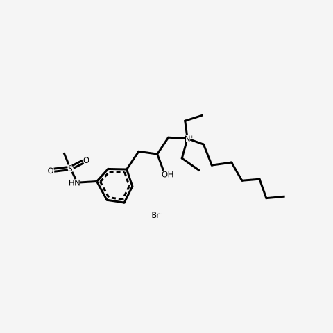 CCCCCCC[N+](CC)(CC)CC(O)Cc1cccc(NS(C)(=O)=O)c1.[Br-]